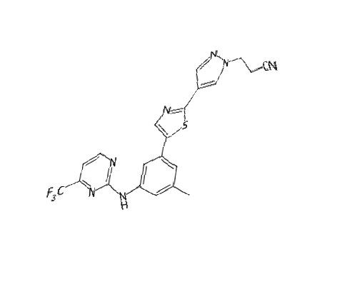 Cc1cc(Nc2nccc(C(F)(F)F)n2)cc(-c2cnc(-c3cnn(CCC#N)c3)s2)c1